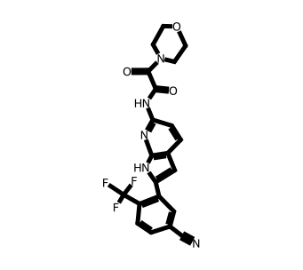 N#Cc1ccc(C(F)(F)F)c(-c2cc3ccc(NC(=O)C(=O)N4CCOCC4)nc3[nH]2)c1